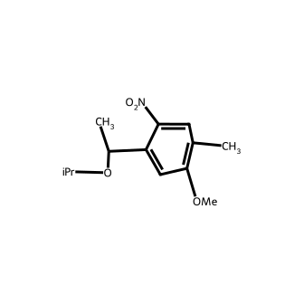 COc1cc(C(C)OC(C)C)c([N+](=O)[O-])cc1C